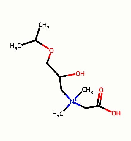 CC(C)OCC(O)C[N+](C)(C)CC(=O)O